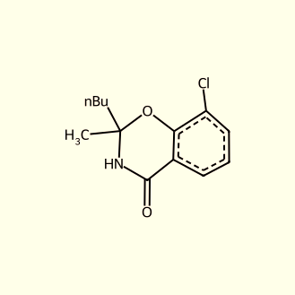 CCCCC1(C)NC(=O)c2cccc(Cl)c2O1